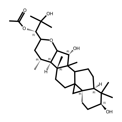 CC(=O)O[C@@H](C1C[C@@H](C)[C@H]2C(O1)[C@H](O)C1(C)C3CC[C@H]4C(C)(C)[C@@H](O)CC[C@@]45CC35CC[C@]21C)C(C)(C)O